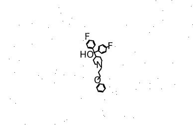 OC(c1ccc(F)cc1)(c1ccc(F)cc1)C1CCN(CCCOc2ccccc2)CC1